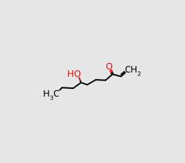 C=CC(=O)CCCC(O)CCC